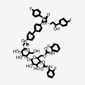 O=C(Nc1ccccc1F)OCC1O[C@@H](O[C@@H]2C(CO)O[C@@H](CS(=O)(=O)c3ccc(-c4ccc([C@@H]5[C@@H](CC[C@H](O)c6ccc(F)cc6)C(=O)N5c5ccc(F)cc5)cc4)cc3)[C@@H](O)C2O)[C@@H](O)C(O)[C@@H]1OC(=O)Nc1ccccc1F